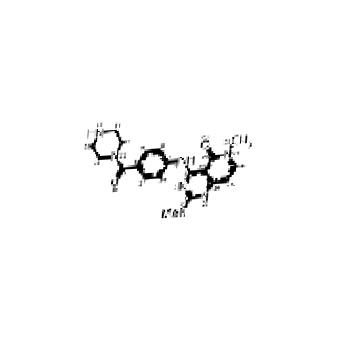 CNc1nc(Nc2ccc(C(=O)N3CCNCC3)cc2)c2c(=O)n(C)ccc2n1